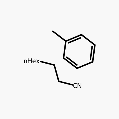 CCCCCCCCC#N.Cc1ccccc1